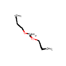 CCCCCCCCCCCCO[SiH2]OCCCCCCCCCCCC